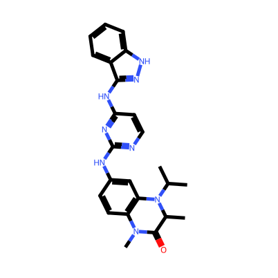 CC(C)N1c2cc(Nc3nccc(Nc4n[nH]c5ccccc45)n3)ccc2N(C)C(=O)C1C